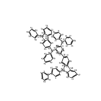 c1ccc(-c2ccc(-n3c4ccccc4c4ccc(-c5nc(N(c6ccccc6)c6ccccc6)nc(N(c6ccccc6)c6ccc7c(c6)c6ccccc6n7-c6ccccc6)n5)cc43)cc2)cc1